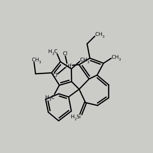 CCC1=C(C)C2=CC=CC(=[SiH2])C(C3=C(C)C(CC)=C(C)C3C)(c3ccccc3)C2=[C]1[Hf]([Cl])[Cl]